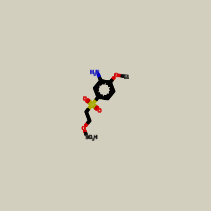 CCOc1ccc(S(=O)(=O)CCOS(=O)(=O)O)cc1N